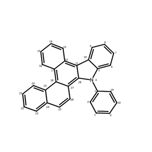 c1ccc(-n2c3ccccc3c3c4ccccc4c4c5ccccc5ccc4c32)cc1